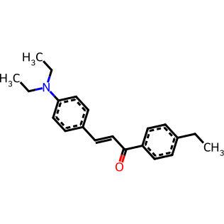 CCc1ccc(C(=O)C=Cc2ccc(N(CC)CC)cc2)cc1